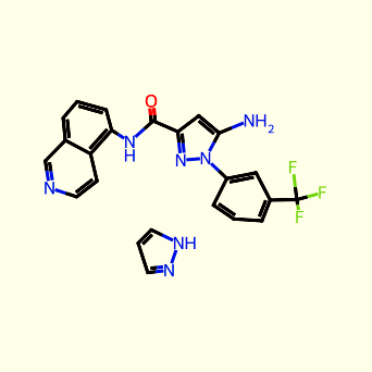 Nc1cc(C(=O)Nc2cccc3cnccc23)nn1-c1cccc(C(F)(F)F)c1.c1cn[nH]c1